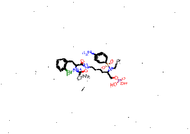 COC(=O)NC(Cc1ccccc1Br)C(=O)NCCCCC(COP(=O)(O)O)N(CC(C)C)S(=O)(=O)c1ccc(N)cc1